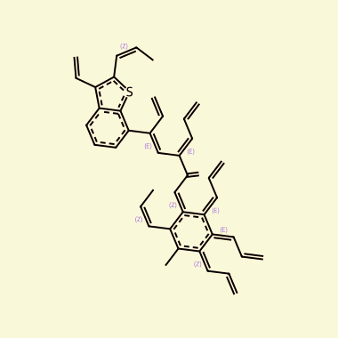 C=C/C=c1c(C)c(/C=C\C)c(=C/C(=C)C(=C/C=C)/C=C(\C=C)c2cccc3c(C=C)c(/C=C\C)sc23)/c(=C\C=C)c/1=C/C=C